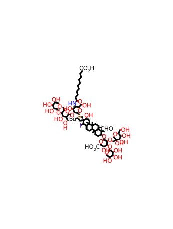 CC1O[C@@H](OC2C(O)[C@@H](NC(=O)CCCCCCCCCCC(=O)O)C(CO)O[C@H]2SC[C@]2(CCC(C)(C)C)C(I)C3=CCC4C5(C)CC[C@H](O[C@@H]6OC(C(=O)O)[C@@H](O)C(O[C@@H]7OC[C@@H](O)C(O)C7O)C6OCC6(O)COC(CO)[C@H](O)C6O)C(C)(C=O)[C@H]5CCC4(C)C3(C)C[C@@H]2O)C(CO)C(O)[C@H]1O[C@@H]1OC[C@@H](O)C(O)C1O